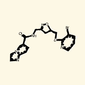 O=C(NCC1=NOC(COc2ncccc2Br)C1)c1ccc2nccn2c1